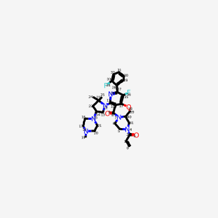 C=CC(=O)N1CCN2C(=O)c3c(N4CC(N5CCN(C)CC5)CC4(C)C)nc(-c4ccccc4F)c(F)c3OCC2C1